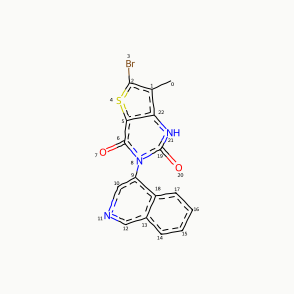 Cc1c(Br)sc2c(=O)n(-c3cncc4ccccc34)c(=O)[nH]c12